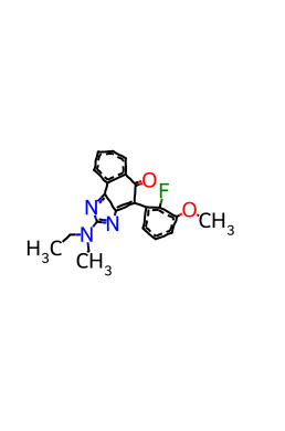 CCN(CC)C1=NC2=C(c3cccc(OC)c3F)C(=O)c3ccccc3C2=N1